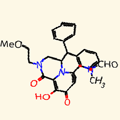 COCCN1CC(C(c2ccccc2)c2ccccc2)n2c(CN(C)C=O)cc(=O)c(O)c2C1=O